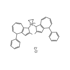 CC1=CC2=C(C=CC=CC2c2ccccc2)[CH]1[Hf+2]1([CH]2C(C)=CC3=C2C=CC=CC3c2ccccc2)[CH2][CH2]1.[Cl-].[Cl-]